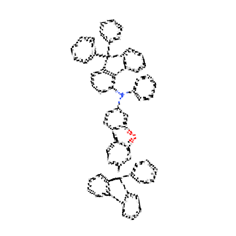 c1ccc(N(c2ccc3c(c2)oc2cc(C4(c5ccccc5)c5ccccc5-c5ccccc54)ccc23)c2cccc3c2-c2ccccc2C3(c2ccccc2)c2ccccc2)cc1